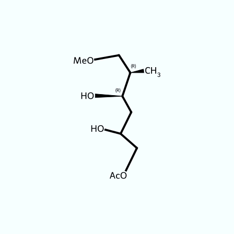 COC[C@@H](C)[C@H](O)CC(O)COC(C)=O